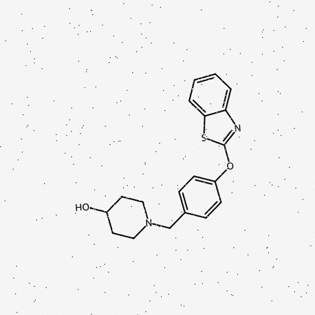 OC1CCN(Cc2ccc(Oc3nc4ccccc4s3)cc2)CC1